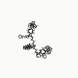 O=CN(CCCCCCCCN(C=O)c1ccc(P(=O)([O-])[O-])cc1)c1ccc(P(=O)([O-])[O-])cc1.[Na+].[Na+].[Na+].[Na+]